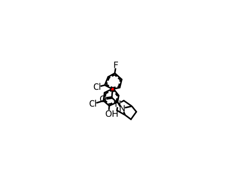 O=C(c1ccc(F)cc1Cl)N1CC2CCC(C1)N2c1cccc(Cl)c1O